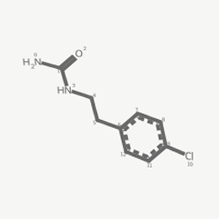 NC(=O)NCCc1ccc(Cl)cc1